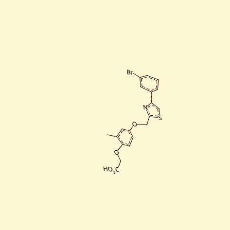 Cc1cc(OCc2nc(-c3cccc(Br)c3)cs2)ccc1OCC(=O)O